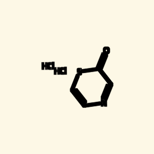 Cl.Cl.O=c1cnccs1